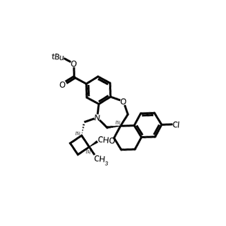 CC(C)(C)OC(=O)c1ccc2c(c1)N(C[C@H]1CC[C@]1(C)C=O)C[C@@]1(CCCc3cc(Cl)ccc31)CO2